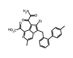 CCc1c(C(=O)C(N)=O)c2c(C(=O)C(=O)O)nc(C)cn2c1Cc1ccccc1-c1ccc(C)cc1